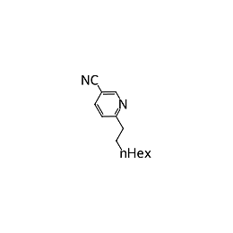 CCCCCCCCc1ccc(C#N)cn1